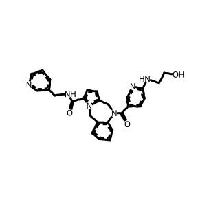 O=C(NCc1cccnc1)c1ccc2n1Cc1ccccc1N(C(=O)c1ccc(NCCO)nc1)C2